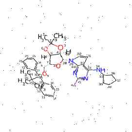 CC1(C)O[C@@H]2[C@H](O1)[C@@H](CO[Si](c1ccccc1)(c1ccccc1)C(C)(C)C)O[C@H]2n1ccc2c(NC3CCCC3)nc(I)nc21